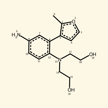 Cc1occc1-c1cc(N)ccc1N(CCO)CCO